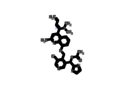 C=C/C=C(/c1cc(C)nc2c(OCc3c(Cl)cncc3C(OC(C)=O)c3nccs3)cccc12)N(C)C